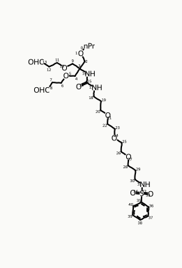 CCCOCC(COCCC=O)(COCCC=O)NC(=O)NCCCOCCOCCOCCCNS(=O)(=O)c1ccccc1